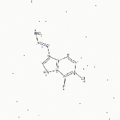 O=[N+]([O-])/C=C/c1c[nH]c2c(F)c(Cl)ccc12